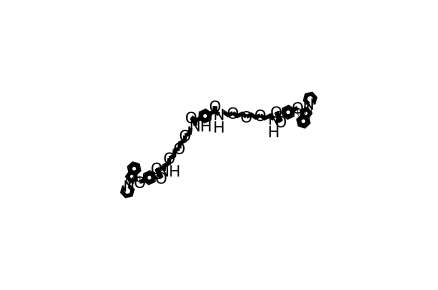 O=C(NCCOCCOCCOCCNS(=O)(=O)c1ccc(O[C@H]2c3ccccc3C[C@@H]2N2CCCCC2)cc1)c1ccc(C(=O)NCCOCCOCCOCCNS(=O)(=O)c2ccc(O[C@H]3c4ccccc4C[C@@H]3N3CCCCC3)cc2)cc1